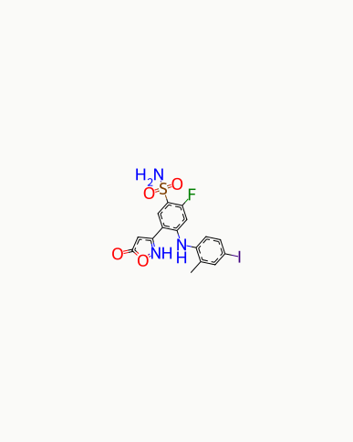 Cc1cc(I)ccc1Nc1cc(F)c(S(N)(=O)=O)cc1-c1cc(=O)o[nH]1